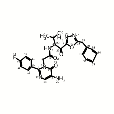 CC(C)[C@H](NC(=O)Cn1c(-c2ccc(F)cc2)ncc(N)c1=O)C(=O)c1nnc(Cc2ccccc2)o1